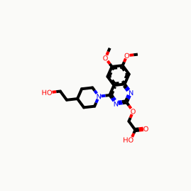 COc1cc2nc(OCC(=O)O)nc(N3CCC(CCO)CC3)c2cc1OC